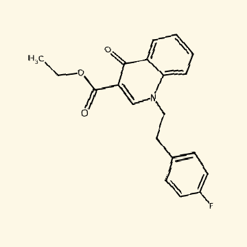 CCOC(=O)c1cn(CCc2ccc(F)cc2)c2ccccc2c1=O